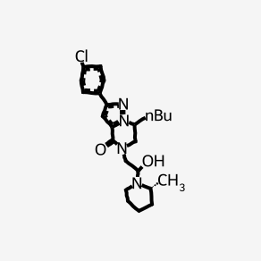 CCCCC1CN(CC(O)N2CCCC[C@H]2C)C(=O)c2cc(-c3ccc(Cl)cc3)nn21